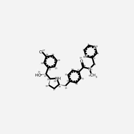 CN(Cc1cnccn1)C(=O)c1ccc(C[C@@H]2CC[C@H]([C@H](O)c3cccc(Cl)c3)N2)cc1